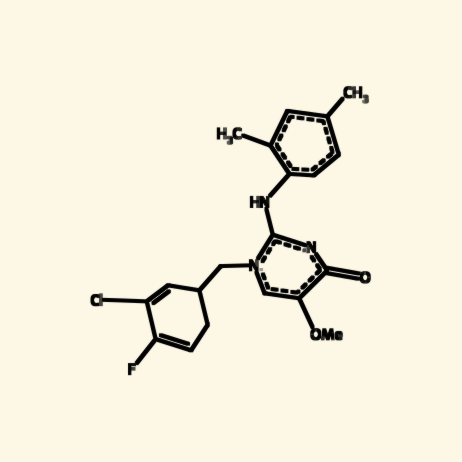 COc1cn(CC2C=C(Cl)C(F)=CC2)c(Nc2ccc(C)cc2C)nc1=O